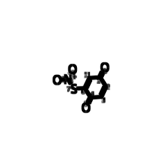 O=C1C=CC(=O)C(S[N+](=O)[O-])=C1